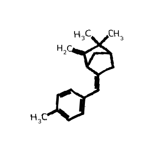 C=C1C2CC(CC2=Cc2ccc(C)cc2)C1(C)C